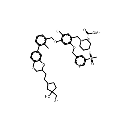 COC(=O)[C@@H]1CCCCN1Cc1cc(Cl)c(OCc2cccc(-c3ccc4c(c3)OC(CCN3CCC(O)(CC(C)=O)C3)CO4)c2C)cc1OCc1cncc(S(C)(=O)=O)c1